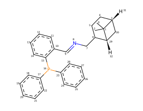 CC1(C)[C@@H]2CCC(C/N=C/c3ccccc3P(c3ccccc3)c3ccccc3)[C@H]1C2